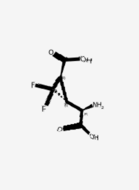 N[C@@H](C(=O)O)[C@H]1[C@H](C(=O)O)C1(F)F